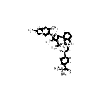 Cc1cn2cc(-n3nc(-c4cccc5nn(C[C@H](F)c6ccc(C(=O)N(C)C)cc6)cc45)c(C(C)C)c3C)c(C)cc2n1